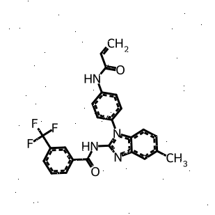 C=CC(=O)Nc1ccc(-n2c(NC(=O)c3cccc(C(F)(F)F)c3)nc3cc(C)ccc32)cc1